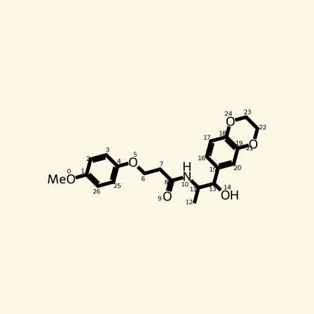 COc1ccc(OCCC(=O)NC(C)C(O)c2ccc3c(c2)OCCO3)cc1